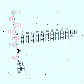 BBBBBBCBCC.[HH].[HH].[HH].[HH].[HH].[HH].[HH].[HH].[HH].[HH].[HH].[HH]